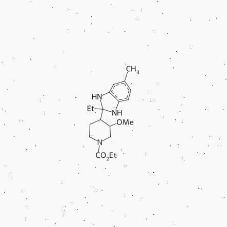 CCOC(=O)N1CCC(C2(CC)Nc3ccc(C)cc3N2)C(OC)C1